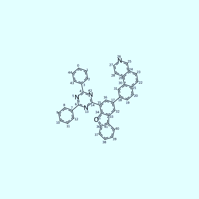 c1ccc(-c2nc(-c3ccccc3)nc(-c3cc(-c4ccc5ccc6cnccc6c5c4)cc4c3oc3ccccc34)n2)cc1